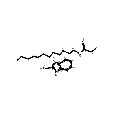 CCCCCCCCCCCCOC(=S)CC.Sc1nc2ccccc2[nH]1